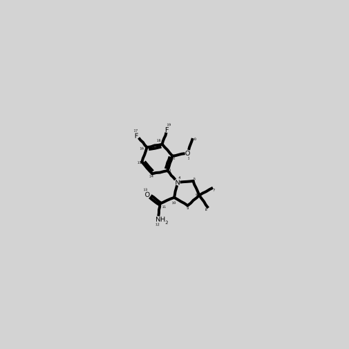 COc1c(N2CC(C)(C)CC2C(N)=O)ccc(F)c1F